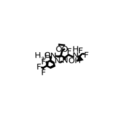 C[C@@H](Nc1ncnc(C(F)C(O)NC2(C(F)F)CC2)c1C1OCCO1)c1cccc(C(F)F)c1F